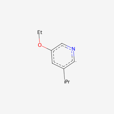 CCOc1cn[c]c(C(C)C)c1